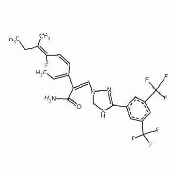 C/C=C(\C=C/C(F)=C(\C)CC)C(=C/N1CNC(c2cc(C(F)(F)F)cc(C(F)(F)F)c2)=N1)/C(N)=O